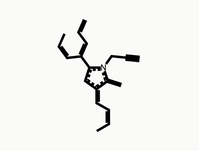 C#CCn1c(C(/C=C\C)=C/C=C)c/c(=C/C=C\C)c1=C